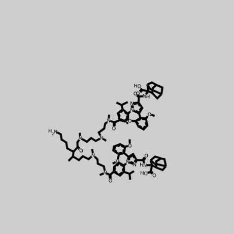 COc1cccc(OC)c1-c1cc(C(=O)NC2(C(=O)O)C3CC4CC(C3)CC2C4)nn1-c1ccc(C(=O)N(C)CCCN(C)CCCC(C)C(CCCCN)C(=O)CN(C)CCCN(C)CCCN(C)C(=O)c2ccc(-n3nc(C(=O)NC4(C(=O)O)C5CC6CC(C5)CC4C6)cc3-c3c(OC)cccc3OC)c(C(C)C)c2)cc1C(C)C